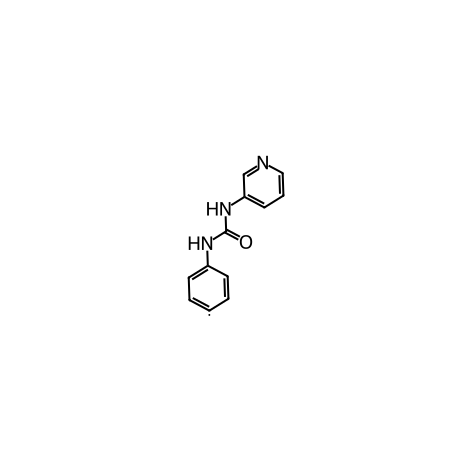 O=C(Nc1cc[c]cc1)Nc1cccnc1